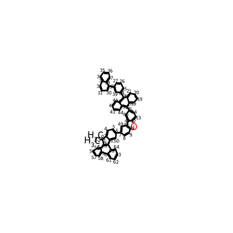 CC1(C)c2ccc(-c3ccc4oc5ccc(-c6c7ccccc7c(-c7cccc(-c8cccc9ccccc89)c7)c7ccccc67)cc5c4c3)cc2-c2c1c1ccccc1c1ccccc21